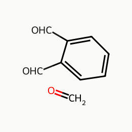 C=O.O=Cc1ccccc1C=O